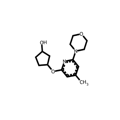 Cc1cc(OC2CCC(O)C2)nc(N2CCOCC2)c1